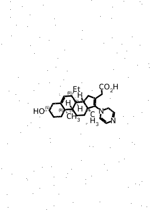 CC[C@H]1C=C2C[C@@H](O)CC[C@]2(C)[C@H]2CC[C@]3(C)C(N4C=CN=CC4)=C(CC(=O)O)C[C@H]3[C@H]12